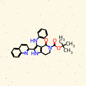 CC(C)(C)OC(=O)N1CCc2[nH]c(-c3ccc4ccccc4n3)c(Nc3ccccc3)c2C1=O